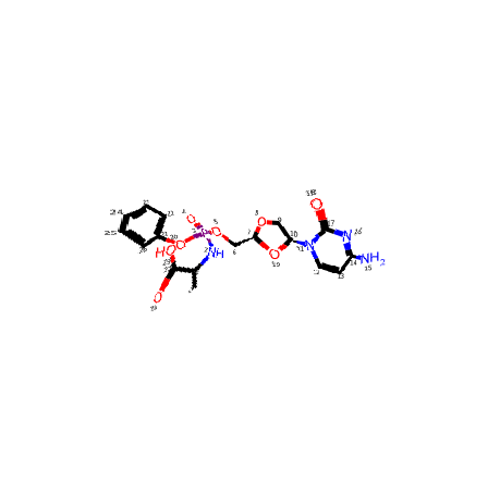 CC(NP(=O)(OC[C@H]1OC[C@@H](n2ccc(N)nc2=O)O1)Oc1ccccc1)C(=O)O